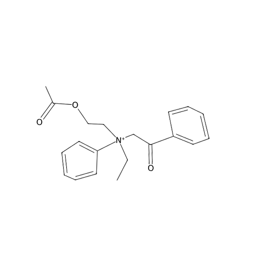 CC[N+](CCOC(C)=O)(CC(=O)c1ccccc1)c1ccccc1